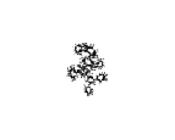 c1ccc(-c2cc(-c3ccccc3)cc(-c3cc(-c4ccc(-c5cccc6sc7ccccc7c56)c5c4oc4ccccc45)nc(-c4ccccc4)n3)c2)cc1